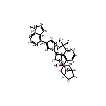 O=C(c1ccnc(C(F)(F)F)c1F)N1C2CCC1CC(N1C[C](n3cc(-c4ncnc5[nH]ccc45)cn3)C1)C2